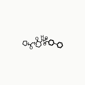 O=C(CN1CCCC(NS(=O)(=O)c2ccc(-c3ccccc3)cc2)C1=O)N1CCCC1